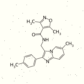 Cc1ccc(-c2nc3ccc(C)cn3c2CNC(=O)c2c(C)noc2C)cc1